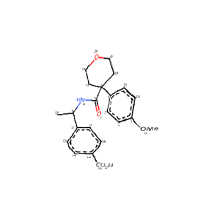 COc1ccc(C2(C(=O)NC(C)c3ccc(C(=O)O)cc3)CCOCC2)cc1